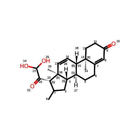 CC1C[C@H]2[C@@H]3CCC4=CC(=O)CC[C@]4(C)[C@H]3C=C[C@]2(C)[C@H]1C(=O)C(O)O